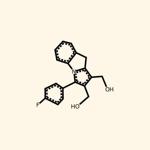 OCc1c(CO)c(-c2ccc(F)cc2)n2c1Cc1ccccc1-2